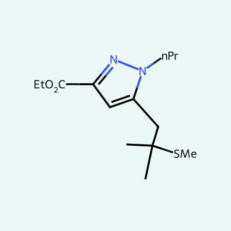 CCCn1nc(C(=O)OCC)cc1CC(C)(C)SC